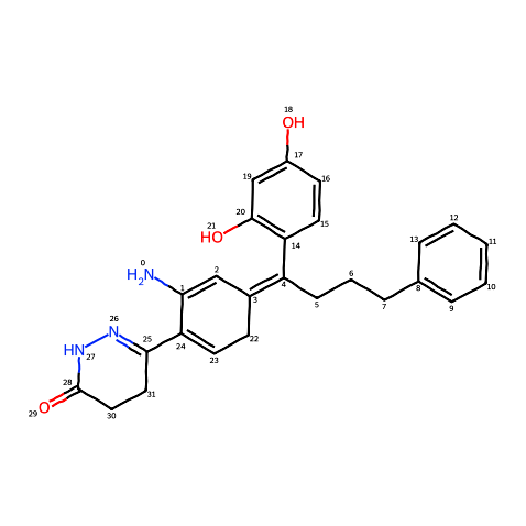 NC1=CC(=C(CCCc2ccccc2)c2ccc(O)cc2O)CC=C1C1=NNC(=O)CC1